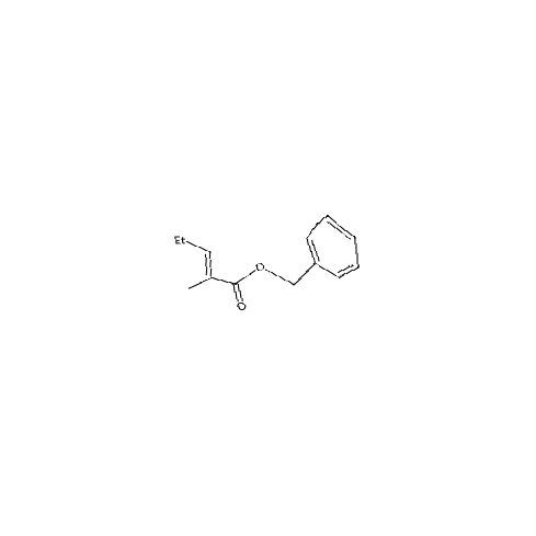 CCC=C(C)C(=O)OCc1ccccc1